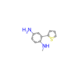 CNc1ccc(N)cc1-c1cccs1